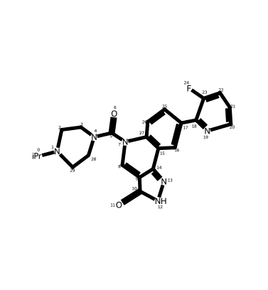 CC(C)N1CCN(C(=O)n2cc3c(=O)[nH]nc-3c3cc(-c4ncccc4F)ccc32)CC1